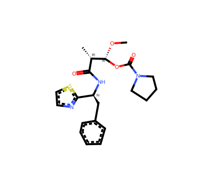 CO[C@H](OC(=O)N1CCCC1)[C@@H](C)C(=O)N[C@@H](Cc1ccccc1)c1nccs1